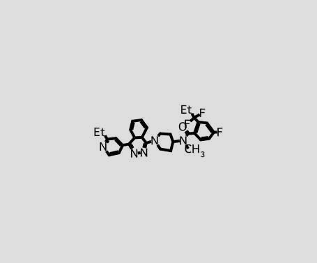 CCc1cc(C2=NN=C(N3CCC(N(C)C(=O)c4ccc(F)cc4C(F)(F)CC)CC3)C3C=CC=CC23)ccn1